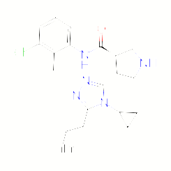 Cc1c(Cl)cccc1NC(=O)[C@H]1CNC[C@@H]1c1nnc(CCC(C)C)n1C1CC1